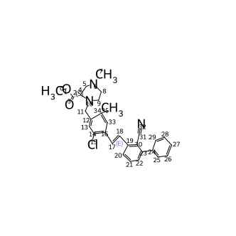 COC(=O)[C@@H]1CN(C)CCN1Cc1cc(Cl)c(/C=C/c2cccc(-c3ccccc3)c2C#N)cc1C